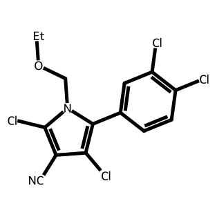 CCOCn1c(Cl)c(C#N)c(Cl)c1-c1ccc(Cl)c(Cl)c1